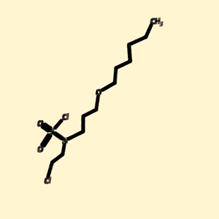 CCCCCCOCCCN(CCCl)S(=O)(=O)Cl